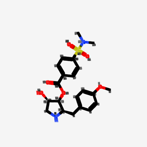 COc1ccc(C[C@H]2NC[C@H](O)[C@H]2OC(=O)c2ccc(S(=O)(=O)N(C)C)cc2)cc1